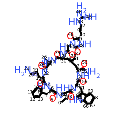 CC[C@@H]1NC(=O)[C@@H](Cc2ccccc2)NC(=O)[C@H](C/C=C/N)NC(=O)[C@@H](C)NC(=O)[C@@H](NC(=O)CN2C(=O)N[C@@H](CCCNC(=N)N)C2=O)CC(C)C[C@@H](C(N)=O)NC(=O)[C@H](Cc2c[nH]c3ccccc23)NC1=O